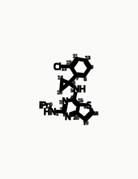 CC(C)Nc1nc(NC2(c3ccccc3Cl)CC2)c2sccc2n1